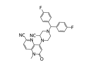 Cn1c(=O)cc(N2CCN(C(c3ccc(F)cc3)c3ccc(F)cc3)CC2C#N)c2nc(C#N)ccc21